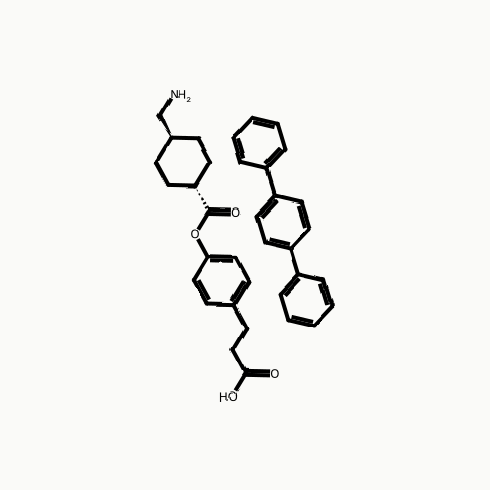 NC[C@H]1CC[C@H](C(=O)Oc2ccc(CCC(=O)O)cc2)CC1.c1ccc(-c2ccc(-c3ccccc3)cc2)cc1